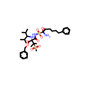 CC(C)C(N[C@@](C(=O)NS(=O)(=O)C1(N)OC1CCCCc1ccccc1)(C(=O)OCc1ccccc1)C(C)(C)S(C)(=O)=O)C(C)C